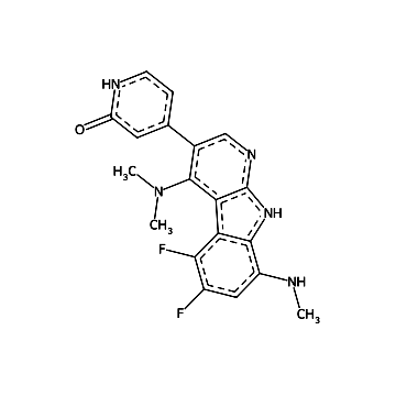 CNc1cc(F)c(F)c2c1[nH]c1ncc(-c3cc[nH]c(=O)c3)c(N(C)C)c12